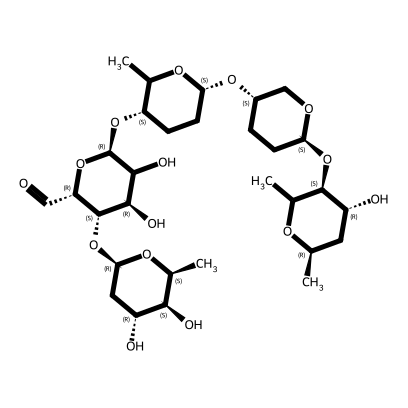 CC1O[C@H](O[C@H]2CC[C@H](O[C@@H]3C(C)O[C@H](C)C[C@H]3O)OC2)CC[C@@H]1O[C@@H]1O[C@@H](C=O)[C@@H](O[C@@H]2C[C@@H](O)[C@H](O)[C@H](C)O2)[C@H](O)C1O